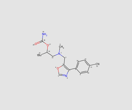 CN(Cc1ocnc1-c1ccc(C#N)cc1)CC(OC(N)=O)C(C)(C)C